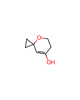 OC1=CC2(CC2)OCC1